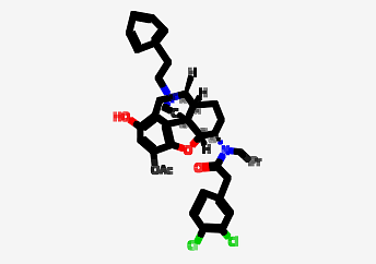 CC(=O)Oc1cc(O)c2c3c1O[C@H]1[C@@H](N(CC(C)C)C(=O)Cc4ccc(Cl)c(Cl)c4)CC[C@H]4[C@@H](C2)N(CCc2ccccc2)CC[C@@]341